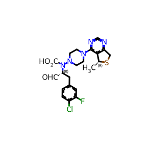 C[C@H]1SCc2ncnc(N3CCN(N(C(=O)O)[C@@H](C=O)Cc4ccc(Cl)c(F)c4)CC3)c21